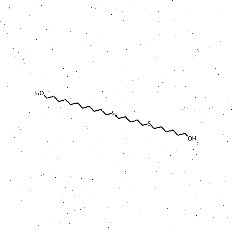 OCCCCCCCCCCCSCCCCCSCCCCCCO